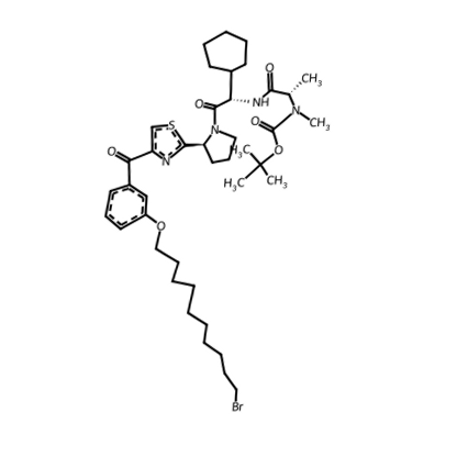 C[C@@H](C(=O)N[C@H](C(=O)N1CCC[C@H]1c1nc(C(=O)c2cccc(OCCCCCCCCCCBr)c2)cs1)C1CCCCC1)N(C)C(=O)OC(C)(C)C